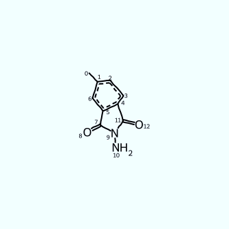 Cc1ccc2c(c1)C(=O)N(N)C2=O